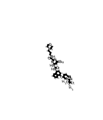 CCC(C)(C)c1nnc2ccc(O[C@@H]3CC[C@H](NC(=O)Nc4cc(C(C)(C)C)nc(C(=O)NCCCN5CCOCC5)n4)c4ccccc43)cn12